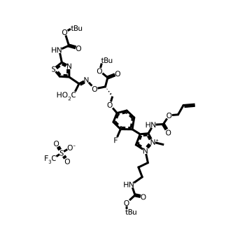 C=CCOC(=O)Nc1c(-c2ccc(OC[C@H](O/N=C(\C(=O)O)c3csc(NC(=O)OC(C)(C)C)n3)C(=O)OC(C)(C)C)cc2F)cn(CCCNC(=O)OC(C)(C)C)[n+]1C.O=S(=O)([O-])C(F)(F)F